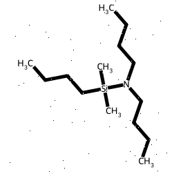 CCCCN(CCCC)[Si](C)(C)CCCC